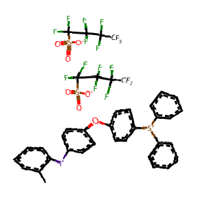 Cc1ccccc1[I+]c1ccc(Oc2ccc([S+](c3ccccc3)c3ccccc3)cc2)cc1.O=S(=O)([O-])C(F)(F)C(F)(F)C(F)(F)C(F)(F)F.O=S(=O)([O-])C(F)(F)C(F)(F)C(F)(F)C(F)(F)F